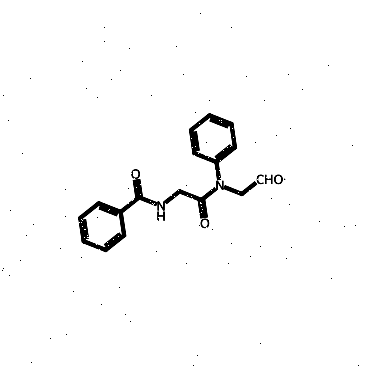 O=[C]CN(C(=O)CNC(=O)c1ccccc1)c1ccccc1